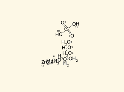 O.O.O.O.O.O.O.O=S(=O)(O)O.[MgH2].[Zn]